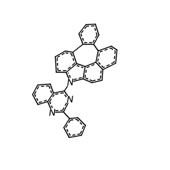 c1ccc(-c2nc(-n3c4cccc5c4c4c6c(cccc6ccc43)-c3ccccc3-5)c3ccccc3n2)cc1